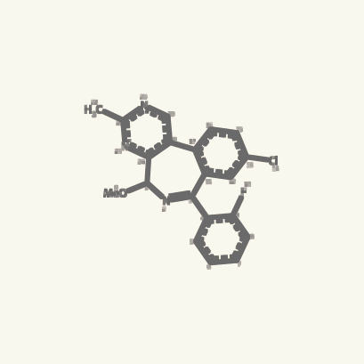 COC1N=C(c2ccccc2F)c2cc(Cl)ccc2-c2cnc(C)nc21